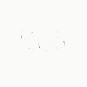 O=S(=O)(O)c1c(Nc2nc(F)nc(F)n2)cc2ccccc2c1S(=O)(=O)O